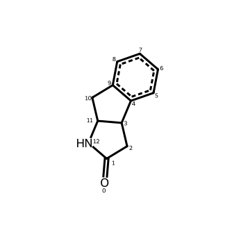 O=C1CC2c3ccccc3CC2N1